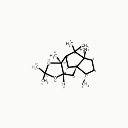 C[C@H]1CC[C@@]2(N)C(C)(C)C3C[C@@]12C[C@@H]1OC(C)(C)O[C@]31C